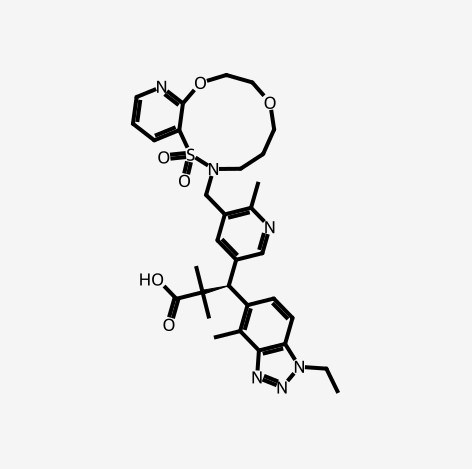 CCn1nnc2c(C)c([C@H](c3cnc(C)c(CN4CCCOCCOc5ncccc5S4(=O)=O)c3)C(C)(C)C(=O)O)ccc21